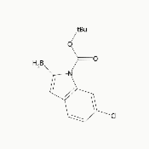 Bc1cc2ccc(Cl)cc2n1C(=O)OC(C)(C)C